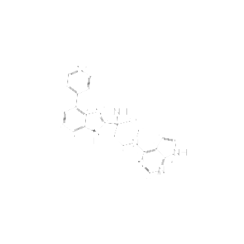 NC1(c2nc3c(-c4ccncc4)cccc3[nH]2)CCN(c2ncnc3[nH]ccc23)CC1